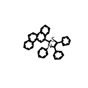 c1ccc(C2=C(c3ccccc3)N(c3ccccc3)C(c3cc4c5ccccc5ccc4c4ccccc34)S2)cc1